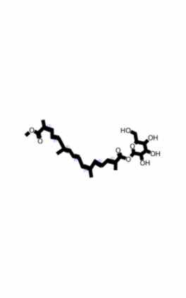 COC(=O)\C(C)=C/C=C/C(C)=C/C=C/C=C(C)\C=C\C=C(/C)C(=O)OC1OC(CO)C(O)C(O)C1O